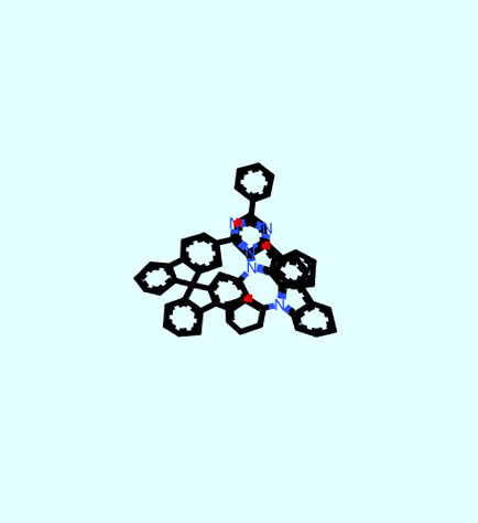 C1=CCCC(n2c3ccccc3c3ccc4c5ccccc5n(-c5ccc6c(c5)C5(c7ccccc7-c7ccc(-c8nc(-c9ccccc9)nc(-c9ccccc9)n8)cc75)c5ccccc5-6)c4c32)=C1